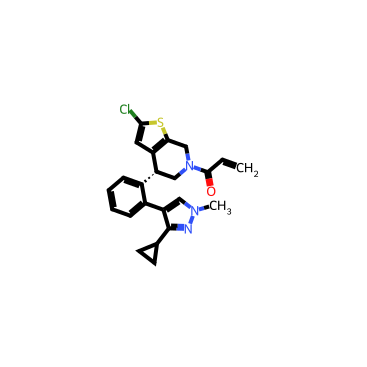 C=CC(=O)N1Cc2sc(Cl)cc2[C@@H](c2ccccc2-c2cn(C)nc2C2CC2)C1